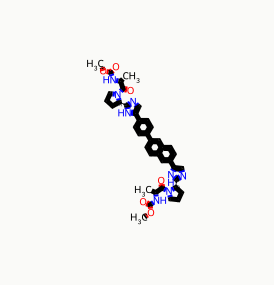 COC(=O)NC(C)C(=O)N1CCC[C@H]1c1ncc(-c2ccc(-c3ccc4cc(-c5cnc([C@@H]6CCCN6C(=O)C(C)NC(=O)OC)[nH]5)ccc4c3)cc2)[nH]1